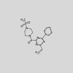 C=Cc1nc(C(=O)N2CCN(S(C)(=O)=O)CC2)nc(-c2ccccc2)n1